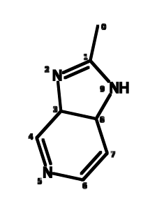 CC1=NC2C=NC=CC2N1